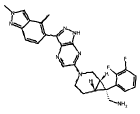 Cc1c(-c2n[nH]c3nc(N4CC[C@@H]5[C@H](C4)[C@@]5(CN)c4cccc(F)c4F)cnc23)ccc2nn(C)cc12